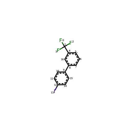 FC(F)(F)c1[c]ccc(-c2ccc(I)cc2)c1